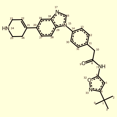 CC(C)(C)c1cc(NC(=O)Cc2ccc(-n3cnc4cc(C5=CCNCC5)ccc43)cc2)on1